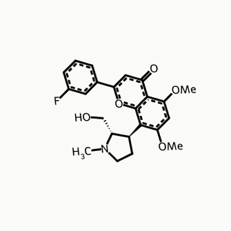 COc1cc(OC)c2c(=O)cc(-c3cccc(F)c3)oc2c1[C@H]1CCN(C)[C@@H]1CO